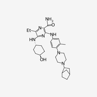 CCc1nc(C(N)=O)c(Nc2ccc(N3CCN(C4CC5CCC4C5)CC3)c(C)c2)nc1N[C@H]1CC[C@H](O)CC1